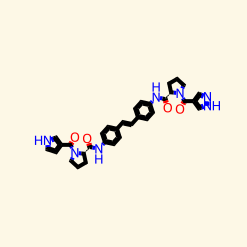 O=C(Nc1ccc(/C=C/c2ccc(NC(=O)[C@@H]3CCCN3C(=O)c3cn[nH]c3)cc2)cc1)[C@@H]1CCCN1C(=O)c1cc[nH]c1